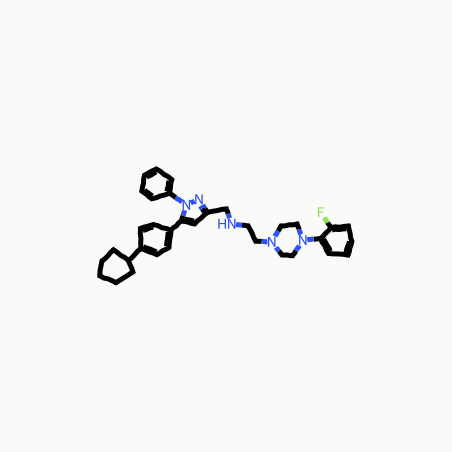 Fc1ccccc1N1CCN(CCNCc2cc(-c3ccc(C4CCCCC4)cc3)n(-c3ccccc3)n2)CC1